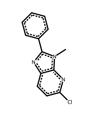 Cn1c(-c2ccccc2)nc2ccc(Cl)nc21